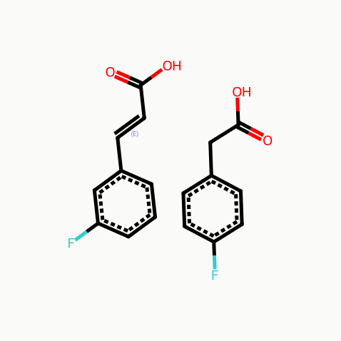 O=C(O)/C=C/c1cccc(F)c1.O=C(O)Cc1ccc(F)cc1